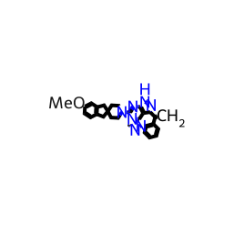 C=C(c1ccccc1)c1n[nH]c2nc(N3CCC4(CC3)Cc3ccc(OC)cc3C4)n3cnnc3c12